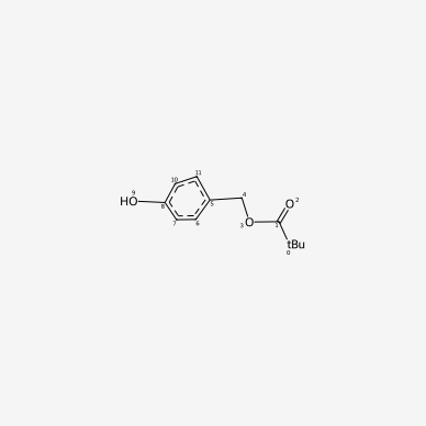 CC(C)(C)C(=O)OCc1ccc(O)cc1